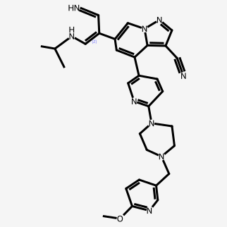 COc1ccc(CN2CCN(c3ccc(-c4cc(/C(C=N)=C/NC(C)C)cn5ncc(C#N)c45)cn3)CC2)cn1